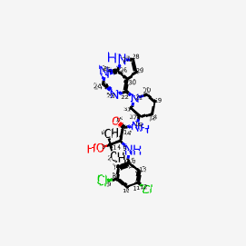 CC(C)(O)C(Nc1cc(Cl)cc(Cl)c1)C(=O)NC1CCCN(c2ncnc3[nH]ccc23)C1